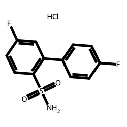 Cl.NS(=O)(=O)c1ccc(F)cc1-c1ccc(F)cc1